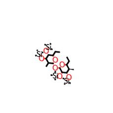 CCC1O[C@H](O[C@H]2OC(CC)[C@@H](C)[C@H](O[Si](C)(C)C)C2O[Si](C)(C)C)C(C)C(O[Si](C)(C)C)[C@@H]1O[Si](C)(C)C